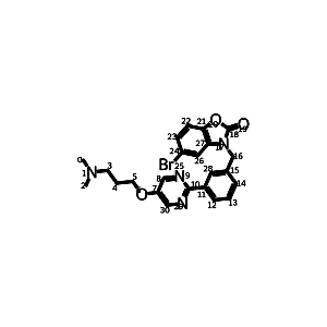 CN(C)CCCOc1cnc(-c2cccc(Cn3c(=O)oc4ccc(Br)cc43)c2)nc1